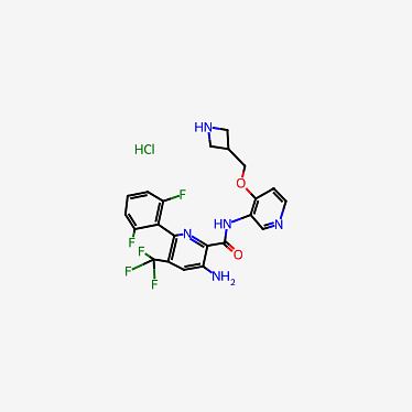 Cl.Nc1cc(C(F)(F)F)c(-c2c(F)cccc2F)nc1C(=O)Nc1cnccc1OCC1CNC1